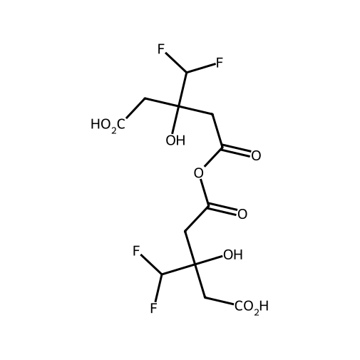 O=C(O)CC(O)(CC(=O)OC(=O)CC(O)(CC(=O)O)C(F)F)C(F)F